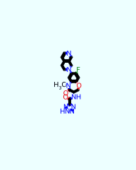 CN1C(=O)[C@@H](NC(=O)c2nn[nH]n2)COc2cc(F)c(N3CCc4ccncc4C3)cc21